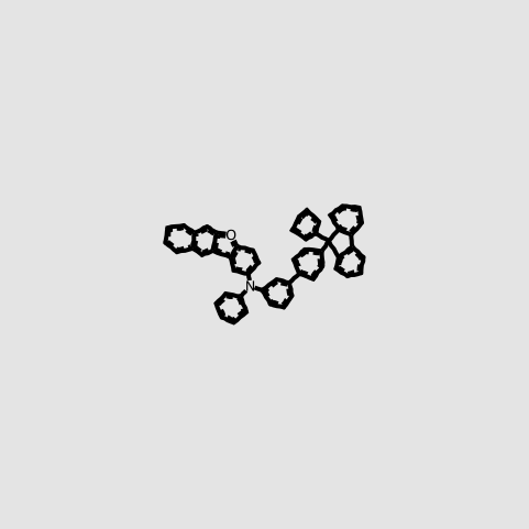 c1ccc(N(c2cccc(-c3ccc(C4(c5ccccc5)c5ccccc5-c5ccccc54)cc3)c2)c2ccc3oc4cc5ccccc5cc4c3c2)cc1